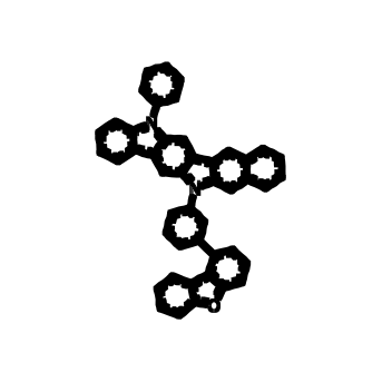 c1ccc(-n2c3ccccc3c3cc4c(cc32)c2cc3ccccc3cc2n4-c2cccc(-c3cccc4oc5ccccc5c34)c2)cc1